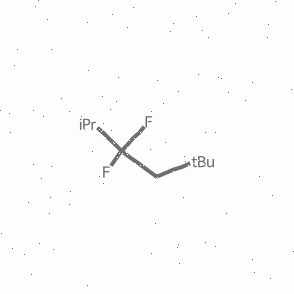 CC(C)C(F)(F)CC(C)(C)C